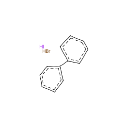 Br.I.c1ccc(-c2ccccc2)cc1